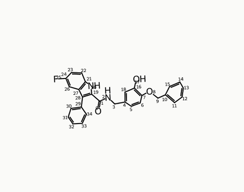 O=C(NCc1ccc(OCc2ccccc2)c(O)c1)c1[nH]c2ccc(F)cc2c1-c1ccccc1